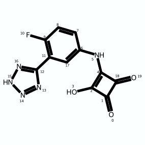 O=c1c(O)c(Nc2ccc(F)c(-c3nn[nH]n3)c2)c1=O